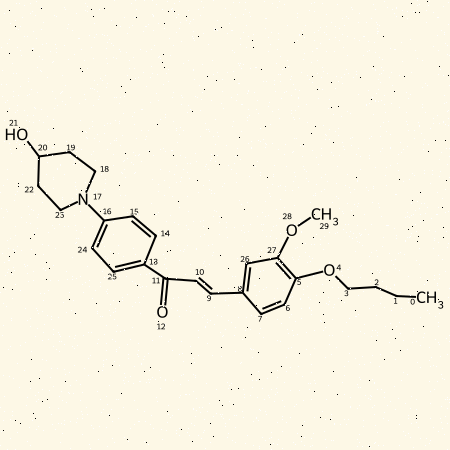 CCCCOc1ccc(C=CC(=O)c2ccc(N3CCC(O)CC3)cc2)cc1OC